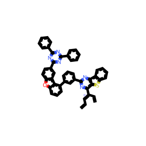 C=C/C=C(\C=C)c1nc(-c2cccc(-c3cccc4oc5ccc(-c6nc(-c7ccccc7)nc(-c7ccccc7)n6)cc5c34)c2)nc2c1sc1ccccc12